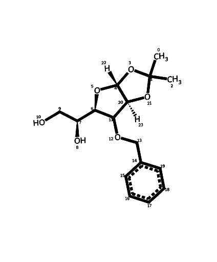 CC1(C)O[C@H]2O[C@H]([C@@H](O)CO)C(OCc3ccccc3)[C@@H]2O1